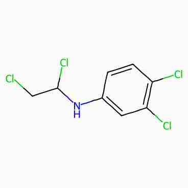 ClCC(Cl)Nc1ccc(Cl)c(Cl)c1